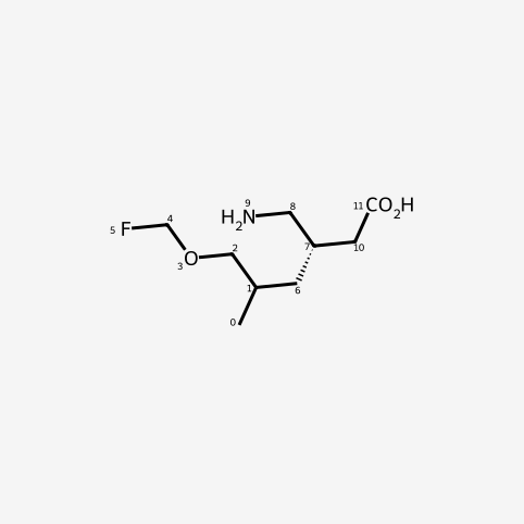 CC(COCF)C[C@H](CN)CC(=O)O